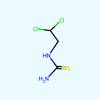 NC(=S)NCC(Cl)Cl